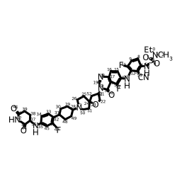 CCN(C)S(=O)(=O)Nc1ccc(F)c(Nc2ccc3ncn([C@H]4COC5(CCN(C6CCC(c7ccc(NC8CCC(=O)NC8=O)cc7F)CC6)CC5)C4)c(=O)c3c2F)c1C#N